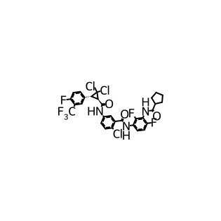 O=C(Nc1ccc(F)c(NC(=O)C2CCCC2)c1F)c1cc(NC(=O)[C@H]2[C@H](c3ccc(F)c(C(F)(F)F)c3)C2(Cl)Cl)ccc1Cl